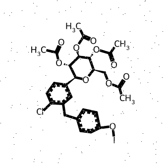 CC(=O)OC[C@H]1O[C@@H](c2ccc(Cl)c(Cc3ccc(OI)cc3)c2)[C@H](OC(C)=O)[C@@H](OC(C)=O)[C@@H]1OC(C)=O